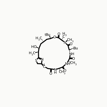 CC[C@H](C)[C@@H]1NC(=O)[C@H](C)NC(=O)[C@H](C)NC(=O)CC[C@@H]2CSC(=N2)[C@@H](C)[C@@H](O)C[C@H](C)C[C@@H](C(C)(C)C)OC(=O)[C@H](C)N(C)C1=O